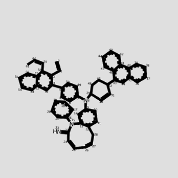 C=Cc1c(-c2ccc(N(c3ccc4c(c3)N(c3ccccc3)C(=N)/C=C\C=C/C4)C3C=CC(c4cc5ccccc5c5ccccc45)CC3)cc2)cc2ccccc2c1/C=C\C